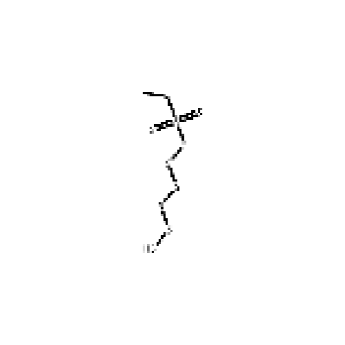 CCS(=S)(=S)SSSSSS